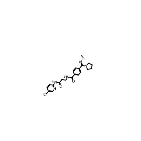 CON=C(c1ccc(C(=O)NCCC(=O)Nc2ccc(Cl)cn2)cc1)N1CCCC1